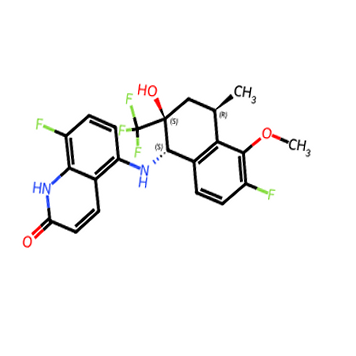 COc1c(F)ccc2c1[C@H](C)C[C@@](O)(C(F)(F)F)[C@H]2Nc1ccc(F)c2[nH]c(=O)ccc12